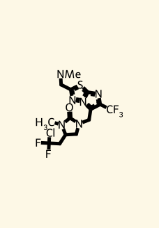 CNCc1nn2c(CN3CC(CC(F)(F)Cl)N(C)C3=O)c(C(F)(F)F)nc2s1